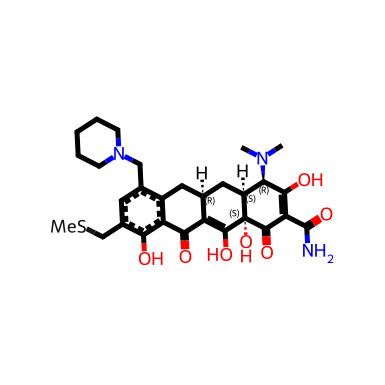 CSCc1cc(CN2CCCCC2)c2c(c1O)C(=O)C1=C(O)[C@]3(O)C(=O)C(C(N)=O)=C(O)[C@H](N(C)C)[C@@H]3C[C@@H]1C2